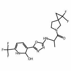 CC(Nc1nnc(C2=CC=C(C(F)(F)F)NC2O)o1)C(=O)N1CCC2(C1)CC2(F)F